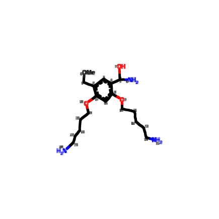 COCc1cc(C(N)O)c(OCCCCCN)cc1OCCCCCN